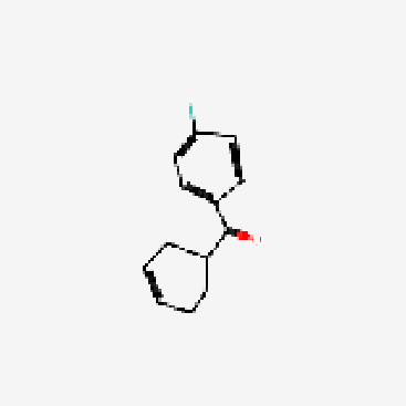 O=C(c1ccc(F)cc1)C1CC=CCC1